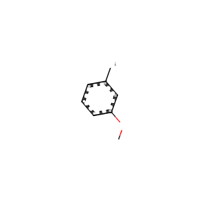 CCOc1ccc[c]([BiH2])c1